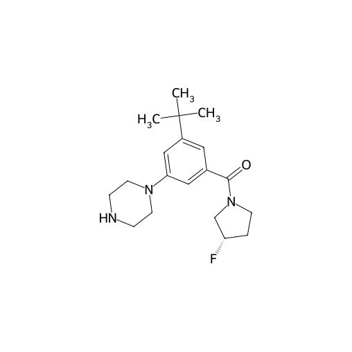 CC(C)(C)c1cc(C(=O)N2CC[C@H](F)C2)cc(N2CCNCC2)c1